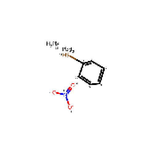 O=[N+]([O-])[O-].Sc1ccccc1.[PbH2].[PbH2]